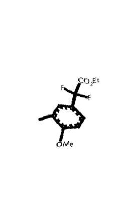 CCOC(=O)C(F)(F)c1ccc(OC)c(C)c1